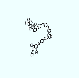 CC(C)(c1ccc(OCc2ccnc(N3CCN(CC4CCN(CC5CCN(c6cccc7c6C(=O)N(C6CCC(=O)NC6=O)C7=O)CC5)CC4)CC3)n2)cc1)c1cc(Cl)c(OCCCl)c(C#N)c1